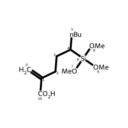 C=C(CCC(CCCC)[Si](OC)(OC)OC)C(=O)O